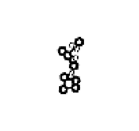 c1ccc2c(c1)-c1cccc3ccc4c(c13)c1c-2cccc1n4-c1ccc2oc3c(-c4nc5ccccc5o4)c4ccccc4cc3c2c1